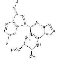 CCOC(=O)[C@@H](C)[C@H](C)Nc1nc(-c2cn(SI)c3ncc(F)cc23)nn2cncc12